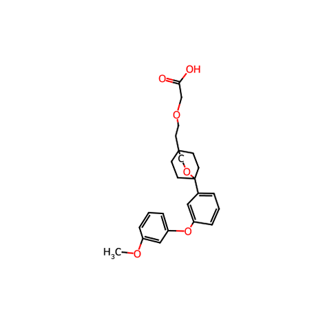 COc1cccc(Oc2cccc(C34CCC(CCOCC(=O)O)(CC3)CO4)c2)c1